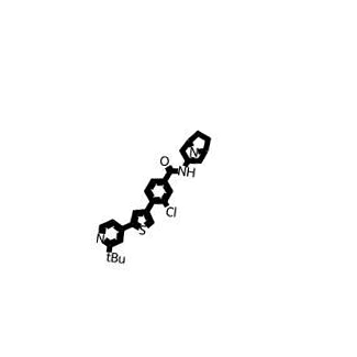 CN1C2CCC1CC(NC(=O)c1ccc(-c3csc(-c4ccnc(C(C)(C)C)c4)c3)c(Cl)c1)C2